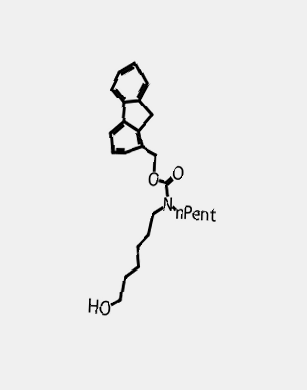 CCCCCN(CCCCCCO)C(=O)OCc1cccc2c1Cc1ccccc1-2